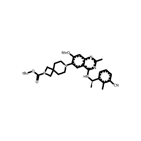 COc1cc2nc(C)nc(N[C@H](C)c3cccc(C#N)c3C)c2cc1N1CCC2(CC1)CN(C(=O)OC(C)(C)C)C2